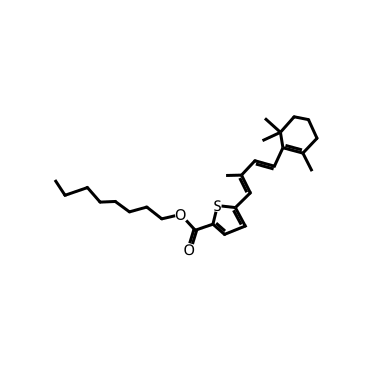 CCCCCCCCOC(=O)c1ccc(C=C(C)C=CC2=C(C)CCCC2(C)C)s1